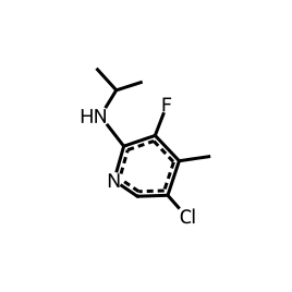 Cc1c(Cl)cnc(NC(C)C)c1F